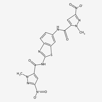 Cn1nc([N+](=O)[O-])cc1C(=O)Nc1ccc2nc(NC(=O)c3cc([N+](=O)[O-])nn3C)sc2c1